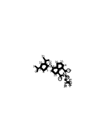 CC(C)c1ccc(Sc2ccc3c4c(cccc24)C(=O)N(OSC(F)(F)F)C3=O)c(C(C)C)c1